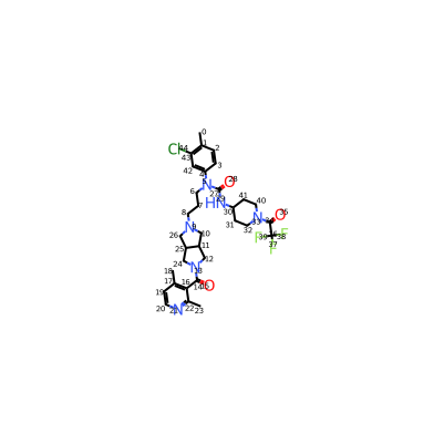 Cc1ccc(N(CCCN2CC3CN(C(=O)c4c(C)ccnc4C)CC3C2)C(=O)NC2CCN(C(=O)C(F)(F)F)CC2)cc1Cl